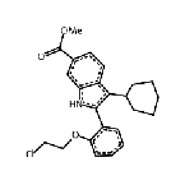 COC(=O)c1ccc2c(C3CCCCC3)c(-c3ccccc3OCCCl)[nH]c2c1